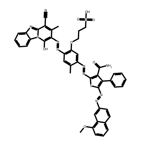 COc1cccc2ccc(N=Nc3sc(N=Nc4cc(OCCCS(=O)(=O)O)c(N=Nc5c(C)c(C#N)c6nc7ccccc7n6c5O)cc4C)c(C(N)=O)c3-c3ccccc3)cc12